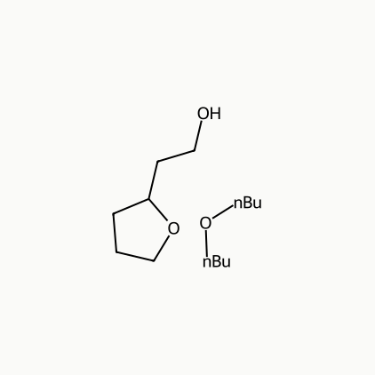 CCCCOCCCC.OCCC1CCCO1